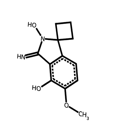 COc1ccc2c(c1O)C(=N)N(O)C21CCC1